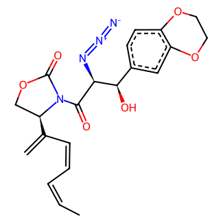 C=C(/C=C\C=C/C)[C@H]1COC(=O)N1C(=O)[C@@H](N=[N+]=[N-])[C@H](O)c1ccc2c(c1)OCCO2